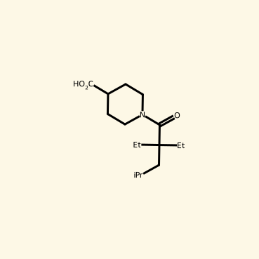 CCC(CC)(CC(C)C)C(=O)N1CCC(C(=O)O)CC1